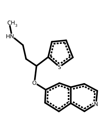 CNCCC(Oc1ccc2cnccc2c1)c1cccs1